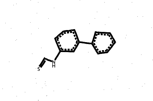 S=[C]Nc1cccc(-c2ccccc2)c1